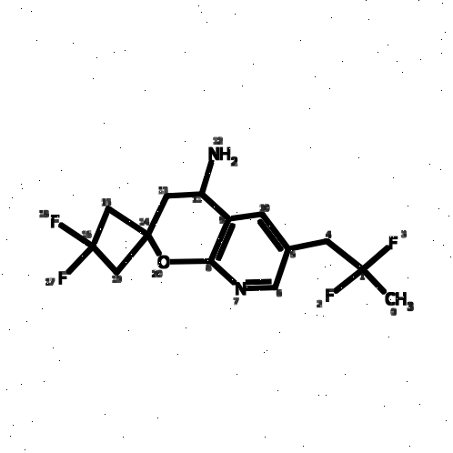 CC(F)(F)Cc1cnc2c(c1)C(N)CC1(CC(F)(F)C1)O2